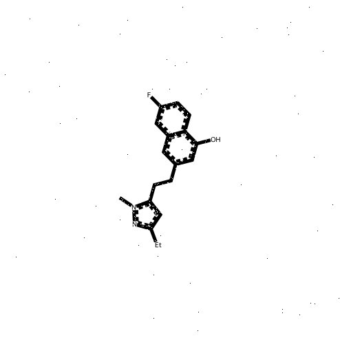 CCc1cc(CCc2cc(O)c3ccc(F)cc3c2)n(C)n1